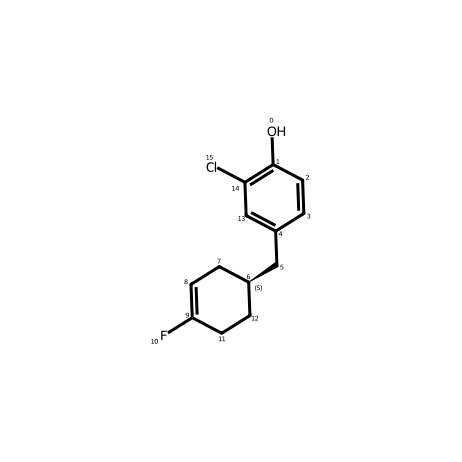 Oc1ccc(C[C@@H]2CC=C(F)CC2)cc1Cl